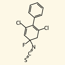 FC1(N=C=S)C=C(Cl)C(c2ccccc2)=C(Cl)C1